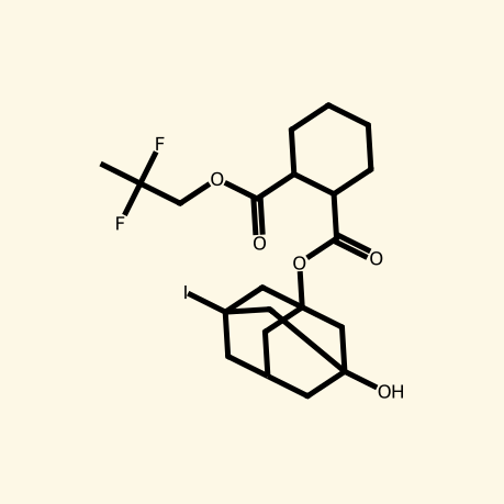 CC(F)(F)COC(=O)C1CCCCC1C(=O)OC12CC3CC(O)(CC(I)(C3)C1)C2